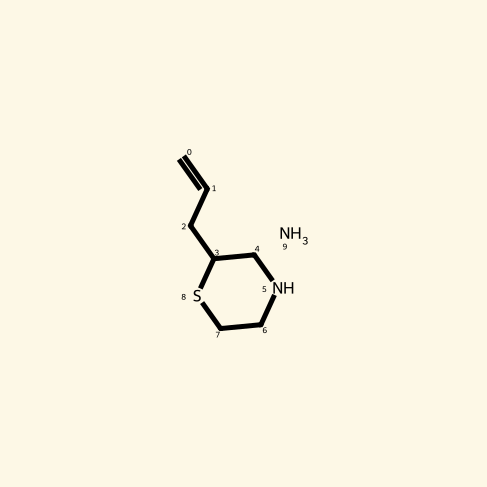 C=CCC1CNCCS1.N